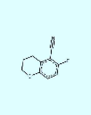 N#Cc1c(F)ccc2c1CCCO2